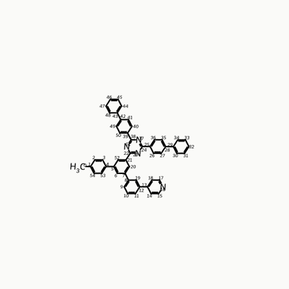 Cc1ccc(-c2cc(-c3cccc(-c4ccncc4)c3)cc(-c3nc(-c4ccc(-c5ccccc5)cc4)nc(-c4ccc(-c5ccccc5)cc4)n3)c2)cc1